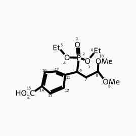 CCOP(=O)(OCC)C(CC(OC)OC)c1ccc(C(=O)O)cc1